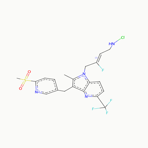 Cc1c(Cc2ccc(S(C)(=O)=O)nc2)c2nc(C(F)(F)F)ccc2n1C/C(F)=C/CNCl